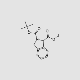 CC(C)(C)OC(=O)N1Cc2ccccc2C1C(=O)OI